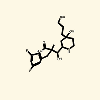 CC(C)(C)CCCC1(O)CCNC(C(O)C(C)(Cc2cc(F)cc(F)c2)C(N)=O)C1